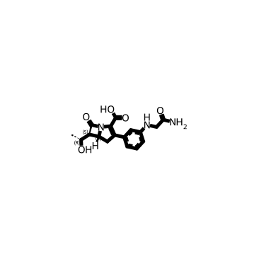 C[C@@H](O)[C@H]1C(=O)N2C(C(=O)O)=C(c3cccc(NCC(N)=O)c3)C[C@H]12